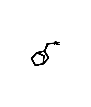 CC(=O)C[C@H]1CC2CCC1C2